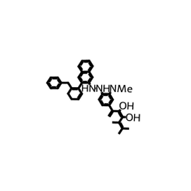 C=C(/C(O)=C(/O)C(C)=C(C)C)c1ccc(NNc2cc3ccccc3cc2C2=C(Cc3ccccc3)CCC=C2)c(NC)c1